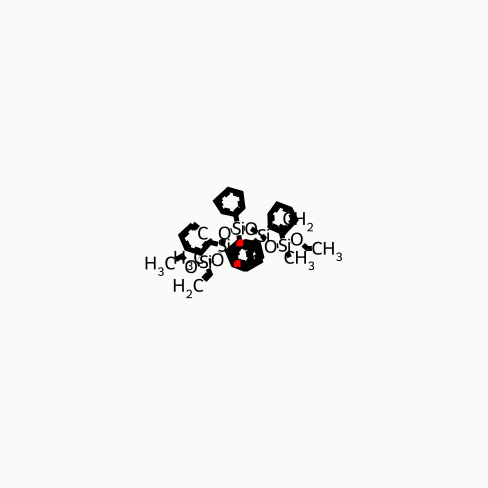 C=C[Si](C)(OCC)O[Si](O[Si](O[Si](O[Si](C)(C=C)OCC)(c1ccccc1)c1ccccc1)(c1ccccc1)c1ccccc1)(c1ccccc1)c1ccccc1